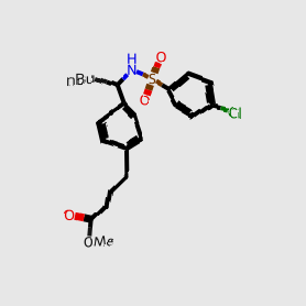 CCCCC(NS(=O)(=O)c1ccc(Cl)cc1)c1ccc(CCCC(=O)OC)cc1